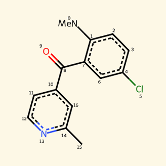 CNc1ccc(Cl)cc1C(=O)c1ccnc(C)c1